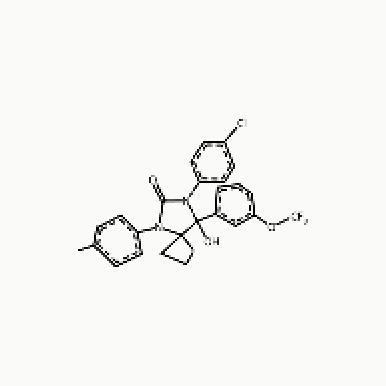 Cc1ccc(N2C(=O)N(c3ccc(Cl)cc3)C(O)(c3cccc(OC(F)(F)F)c3)C23CCC3)cc1